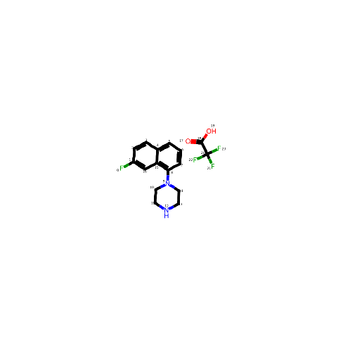 Fc1ccc2cccc(N3CCNCC3)c2c1.O=C(O)C(F)(F)F